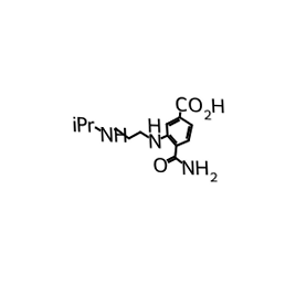 CC(C)NCCCNc1cc(C(=O)O)ccc1C(N)=O